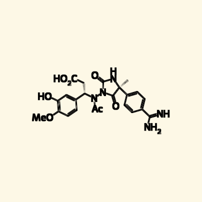 COc1ccc([C@H](CC(=O)O)N(C(C)=O)N2C(=O)N[C@@](C)(c3ccc(C(=N)N)cc3)C2=O)cc1O